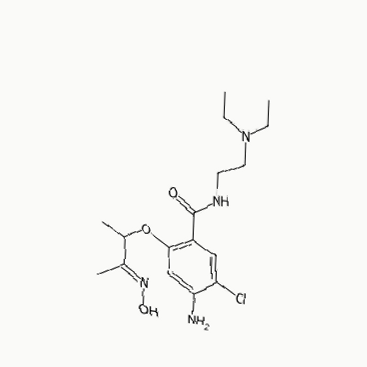 CCN(CC)CCNC(=O)c1cc(Cl)c(N)cc1OC(C)C(C)=NO